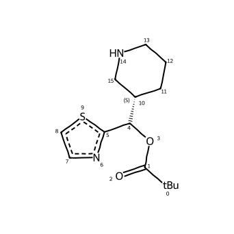 CC(C)(C)C(=O)OC(c1nccs1)[C@H]1CCCNC1